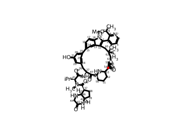 CCn1c(-c2cccnc2[C@H](C)OC)c2c3cc(ccc31)-c1cc(O)cc(c1)C[C@H](NC(=O)[C@H](C(C)C)N(C)C(=O)[C@H]1CC[C@H]3NC(=O)CN[C@@H]13)C(=O)N1CCC[C@@](C3=CS3)(N1)C(=O)OCC(C)(C)C2